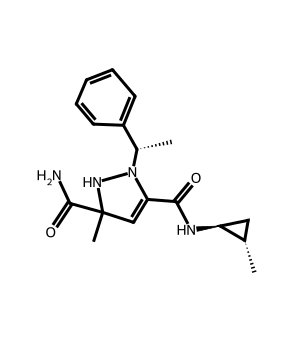 C[C@H]1C[C@@H]1NC(=O)C1=CC(C)(C(N)=O)NN1[C@@H](C)c1ccccc1